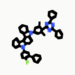 Cc1cc(-n2c3ccccc3c3c4c5ccccc5n(-c5ccc(F)c(-c6ccccc6)c5)c4ccc32)cc(C)c1-c1nc(-c2ccccc2)nc(-c2ccccc2)n1